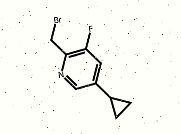 Fc1cc(C2CC2)cnc1CBr